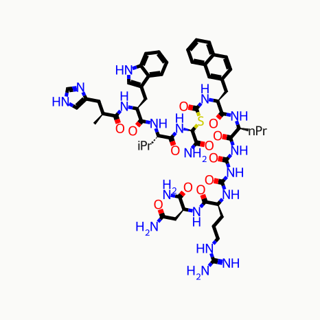 CCC[C@H](NC(=O)[C@H](Cc1ccc2ccccc2c1)NC(=O)S[C@H](NC(=O)[C@@H](NC(=O)[C@H](Cc1c[nH]c2ccccc12)NC(=O)[C@@H](C)Cc1c[nH]cn1)C(C)C)C(N)=O)C(=O)NC(=O)NC(=O)N[C@@H](CCCNC(=N)N)C(=O)N[C@@H](CC(N)=O)C(N)=O